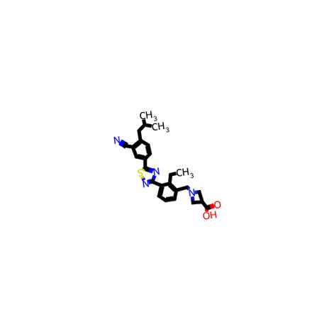 CCc1c(CN2CC(C(=O)O)C2)cccc1-c1nsc(-c2ccc(CC(C)C)c(C#N)c2)n1